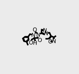 Cc1cccc(CN2C(=O)N(c3cnn(Cc4c(C)noc4C)c3)C(=O)C2(C)CO)c1